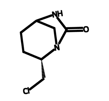 O=C1NC2CC[C@@H](CCl)N1C2